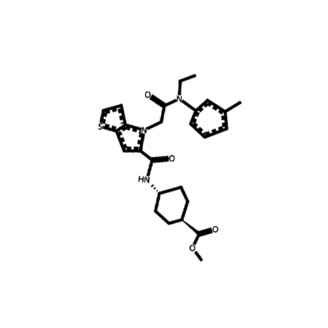 CCN(C(=O)Cn1c(C(=O)N[C@H]2CC[C@H](C(=O)OC)CC2)cc2sccc21)c1cccc(C)c1